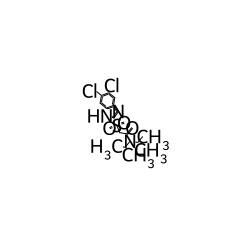 CC(C)N(C(=O)CS(=O)(=O)c1nc2cc(Cl)c(Cl)cc2[nH]1)C(C)C